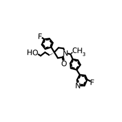 C[C@@H](c1ccc(-c2cncc(F)c2)cc1)N1CC[C@](CCCO)(c2ccc(F)cc2)CC1=O